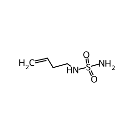 C=CCCNS(N)(=O)=O